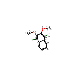 COc1c(SC)c(Cl)c2ccccc2c1Cl